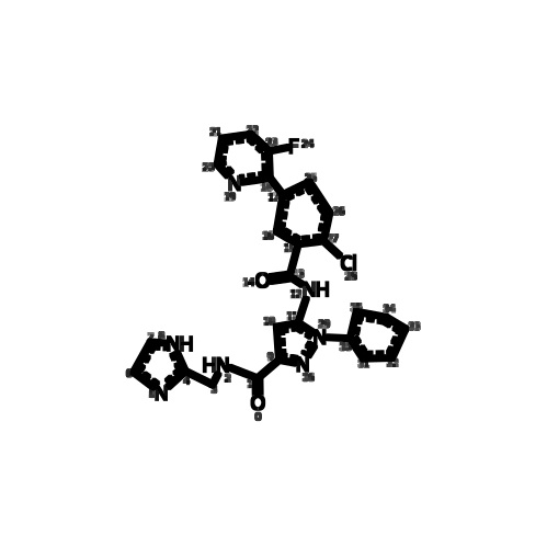 O=C(NCc1ncc[nH]1)c1cc(NC(=O)c2cc(-c3ncccc3F)ccc2Cl)n(-c2ccccc2)n1